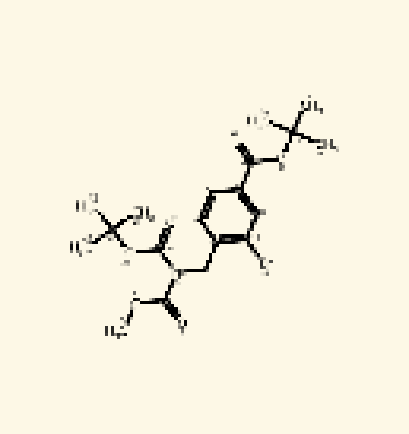 COC(=O)N(Cc1ccc(C(=O)OC(C)(C)C)cc1Br)C(=O)OC(C)(C)C